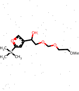 COCCOCOCC(O)c1coc([Si](C)(C)C)c1